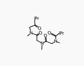 CC(C)C(=O)CN(C)C(=O)CN(C)C(=O)CN(C)C(=O)C(C)C